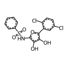 O=S(=O)(Nc1oc(-c2cc(Cl)ccc2Cl)c(O)c1O)c1ccccc1